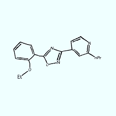 CCCc1cc(-c2noc(-c3ccccc3OCC)n2)ccn1